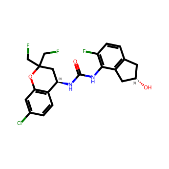 O=C(Nc1c(F)ccc2c1C[C@@H](O)C2)N[C@@H]1CC(CF)(CF)Oc2cc(Cl)ccc21